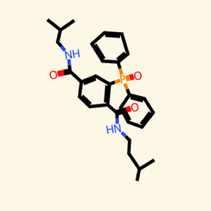 CC(C)CCNC(=O)c1ccc(C(=O)NCC(C)C)cc1P(=O)(c1ccccc1)c1ccccc1